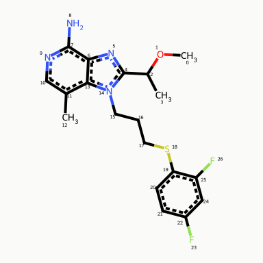 COC(C)c1nc2c(N)ncc(C)c2n1CCCSc1ccc(F)cc1F